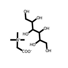 C[N+](C)(C)CC(=O)[O-].OCC(O)C(O)C(O)C(O)CO